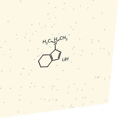 C[SiH](C)C1C=CC2=C1CCCC2.[LiH]